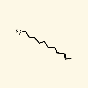 CC=CCCCCCCCCC(F)(F)F